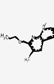 CCOc1nc2[nH]ccc2cc1C